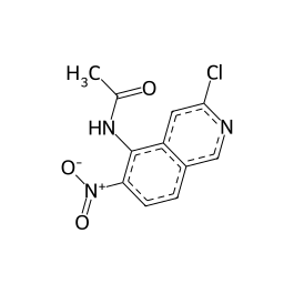 CC(=O)Nc1c([N+](=O)[O-])ccc2cnc(Cl)cc12